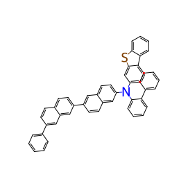 c1ccc(-c2ccc3ccc(-c4ccc5cc(N(c6ccc7c(c6)sc6ccccc67)c6ccccc6-c6ccccc6)ccc5c4)cc3c2)cc1